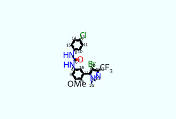 COc1ccc(NC(=O)Nc2ccc(Cl)cc2)cc1-c1c(Br)c(C(F)(F)F)nn1C